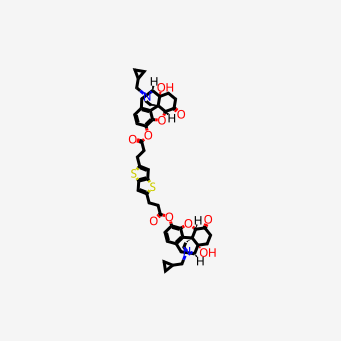 O=C(CCc1cc2sc(CCC(=O)Oc3ccc4c5c3O[C@H]3C(=O)CC[C@@]6(O)[C@@H](C4)N(CC4CC4)CC[C@]536)cc2s1)Oc1ccc2c3c1O[C@H]1C(=O)CC[C@@]4(O)[C@@H](C2)N(CC2CC2)CC[C@]314